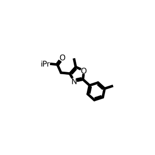 Cc1cccc(-c2nc(CC(=O)C(C)C)c(C)o2)c1